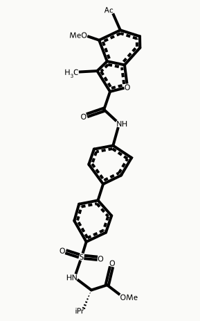 COC(=O)[C@@H](NS(=O)(=O)c1ccc(-c2ccc(NC(=O)c3oc4ccc(C(C)=O)c(OC)c4c3C)cc2)cc1)C(C)C